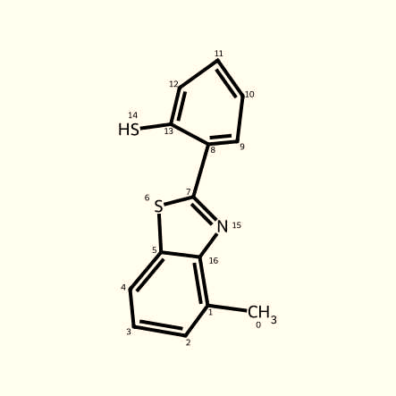 Cc1cccc2sc(-c3ccccc3S)nc12